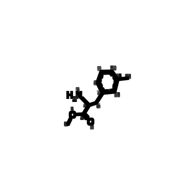 COC(=O)C(N)Cc1cccc(C)c1